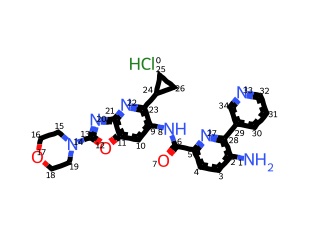 Cl.Nc1ccc(C(=O)Nc2cc3oc(N4CCOCC4)nc3nc2C2CC2)nc1-c1cccnc1